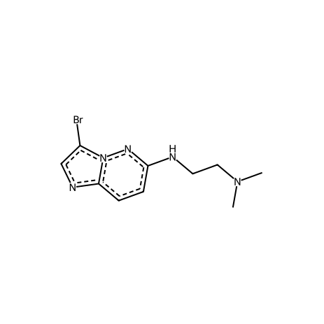 CN(C)CCNc1ccc2ncc(Br)n2n1